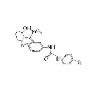 Nc1c2c(nc3ccc(NC(=O)/C=C/c4ccc(Cl)cc4)cc13)CCCC2O